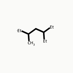 C[CH]C(C)CC(CC)CC